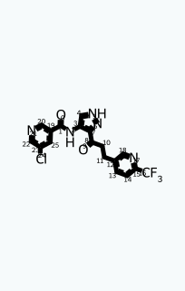 O=C(Nc1c[nH]nc1C(=O)CCc1ccc(C(F)(F)F)nc1)c1cncc(Cl)c1